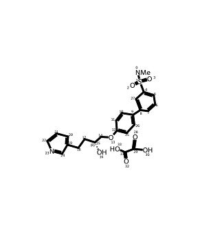 CNS(=O)(=O)c1cccc(-c2ccc(OC[C@H](O)CCc3cccnc3)cc2)c1.O=C(O)C(=O)O